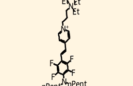 CCCCCN(CCCCC)c1c(F)c(F)c(C=Cc2cc[n+](CCC[N+](CC)(CC)CC)cc2)c(F)c1F